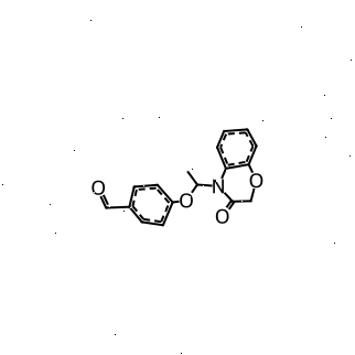 CC(Oc1ccc(C=O)cc1)N1C(=O)COc2ccccc21